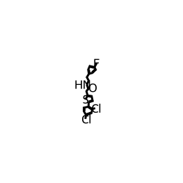 O=C(Cc1ccc(-c2ccc(Cl)cc2Cl)s1)NCCc1ccc(F)cc1